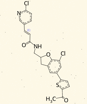 CC(=O)c1ccc(-c2cc(Cl)c3c(c2)CC(CNC(=O)/C=C/c2ccc(Cl)nc2)O3)s1